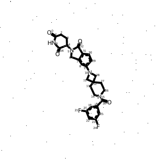 O=C1CCC(N2Cc3cc(N4CC5(CCN(C(=O)c6cc(F)cc(F)c6)CC5)C4)ccc3C2=O)C(=O)N1